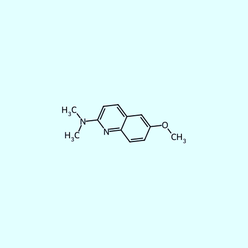 COc1ccc2nc(N(C)C)ccc2c1